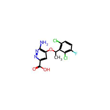 CC(Oc1cc(C(=O)O)nnc1N)c1c(Cl)ccc(F)c1Cl